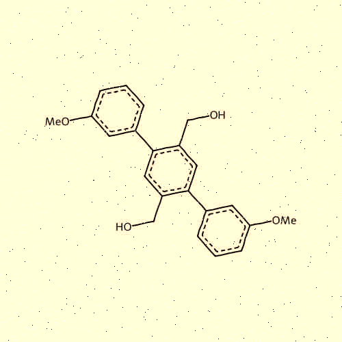 COc1cccc(-c2cc(CO)c(-c3cccc(OC)c3)cc2CO)c1